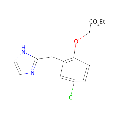 CCOC(=O)COc1ccc(Cl)cc1Cc1ncc[nH]1